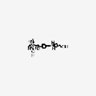 CNC[C@H](c1cc(-c2ccc(C#C[C@@H]3[C@H]4CN(CCO)C[C@@H]34)cc2)on1)n1ccnc1[C@H](C)O